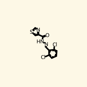 O=C(NN=Cc1c(Cl)cccc1Cl)c1cscn1